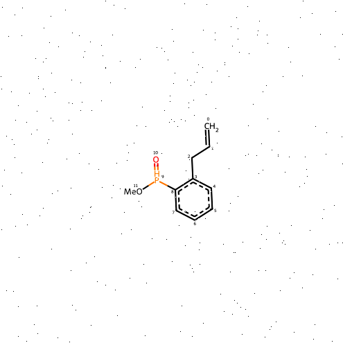 C=CCc1ccccc1[PH](=O)OC